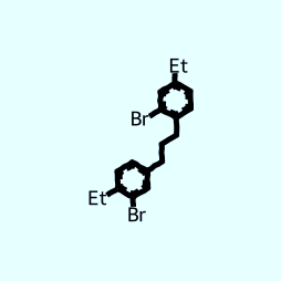 CCc1ccc(CCCc2ccc(CC)c(Br)c2)c(Br)c1